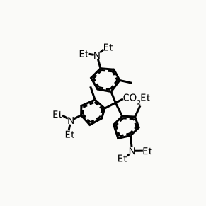 CCOC(=O)C(c1ccc(N(CC)CC)cc1C)(c1ccc(N(CC)CC)cc1C)c1ccc(N(CC)CC)cc1C